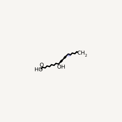 C=CCC/C=C/C#CC#CC(O)CCCCCCC(=O)O